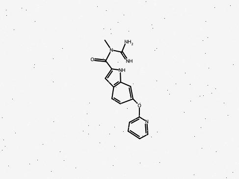 CN(C(=N)N)C(=O)c1cc2ccc(Oc3ccccn3)cc2[nH]1